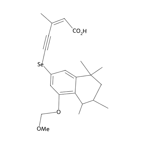 COCOc1cc([Se]C#CC(C)=CC(=O)O)cc2c1C(C)C(C)CC2(C)C